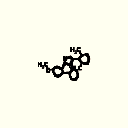 COc1ccc2c3ccccc3n3c(-c4c(C)cccc4C)cnc3c2c1